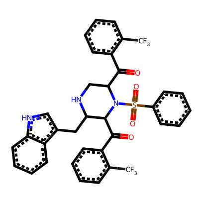 O=C(c1ccccc1C(F)(F)F)C1CNC(Cc2c[nH]c3ccccc23)C(C(=O)c2ccccc2C(F)(F)F)N1S(=O)(=O)c1ccccc1